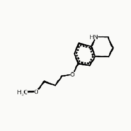 COCCCOc1ccc2c(c1)CCCN2